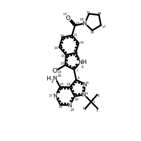 CC(C)(C)n1nc(-c2[nH]c3cc(C(=O)N4CCCC4)ccc3c2Cl)c2c(N)ncnc21